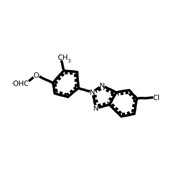 Cc1cc(-n2nc3ccc(Cl)cc3n2)ccc1O[C]=O